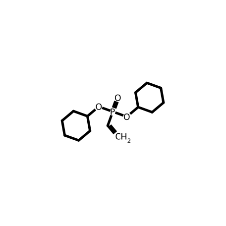 C=CP(=O)(OC1CCCCC1)OC1CCCCC1